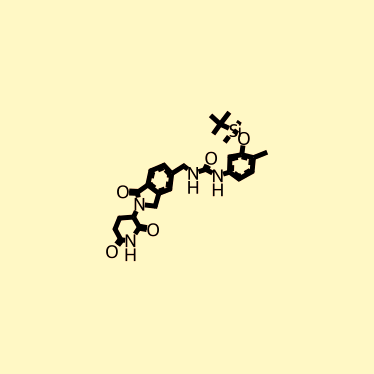 Cc1ccc(NC(=O)NCc2ccc3c(c2)CN(C2CCC(=O)NC2=O)C3=O)cc1O[Si](C)(C)C(C)(C)C